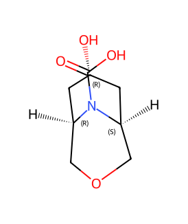 O=C(O)N1[C@@H]2COC[C@H]1C[C@H](O)C2